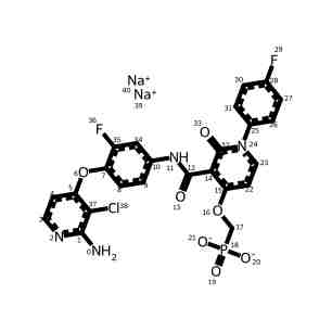 Nc1nccc(Oc2ccc(NC(=O)c3c(OCP(=O)([O-])[O-])ccn(-c4ccc(F)cc4)c3=O)cc2F)c1Cl.[Na+].[Na+]